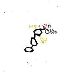 COC(=O)C1(C(=O)O)CC(S)=C(c2ccc(-c3ccccc3)cc2)C=C1S